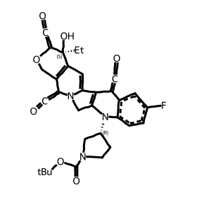 CC[C@@]1(O)C(=C=O)OCC2=C1C=C1C3=C(CN1C2=C=O)N([C@@H]1CCN(C(=O)OC(C)(C)C)C1)c1ccc(F)cc1C3=C=O